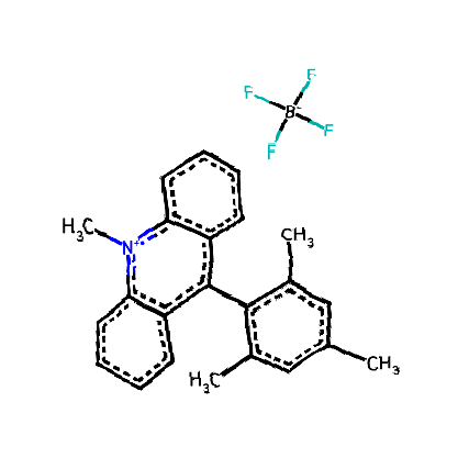 Cc1cc(C)c(-c2c3ccccc3[n+](C)c3ccccc23)c(C)c1.F[B-](F)(F)F